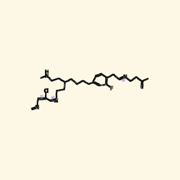 C=N/C=C(Cl)\C=N/CCC(CCCCc1ccc(C/C=N/CCC(=C)C)c(F)c1)CCNC